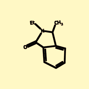 CCN1C(=O)c2ccccc2C1C